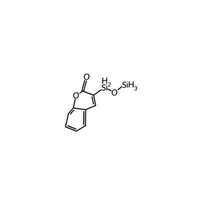 O=c1oc2ccccc2cc1[SiH2]O[SiH3]